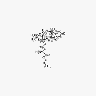 C=CCOC(=O)C(N)CC(=O)OCC(=O)[C@@]12OC(C)(C)O[C@@H]1C[C@H]1[C@@H]3CCC4=CC(=O)C=C[C@]4(C)[C@@]3(F)[C@@H](O)C[C@@]12C